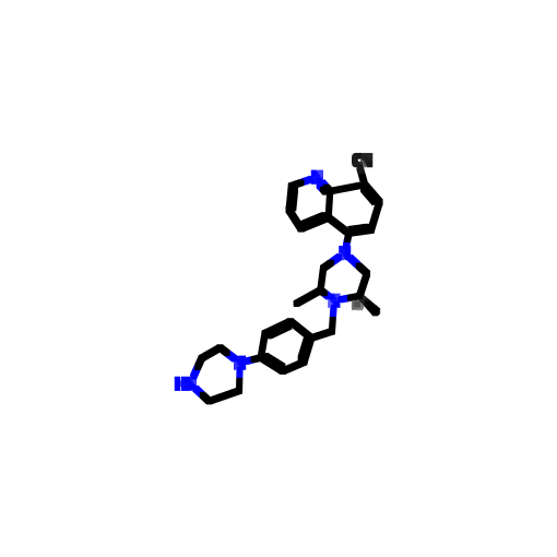 CC1CN(c2ccc(C#N)c3ncccc23)C[C@@H](C)N1Cc1ccc(N2CCNCC2)cc1